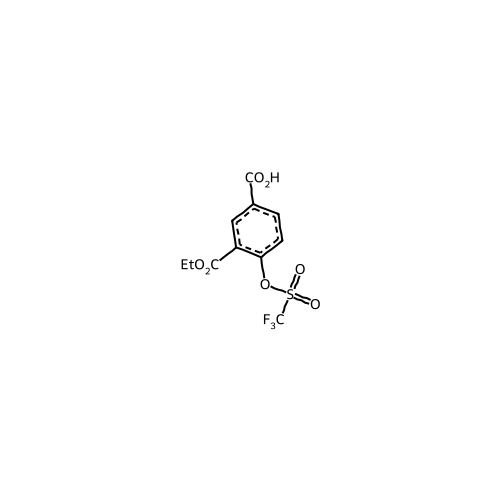 CCOC(=O)c1cc(C(=O)O)ccc1OS(=O)(=O)C(F)(F)F